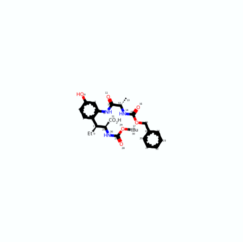 CC[C@@H](c1ccc(O)cc1NC(=O)[C@H](C)NC(=O)OCc1ccccc1)[C@H](NC(=O)OC(C)(C)C)C(=O)O